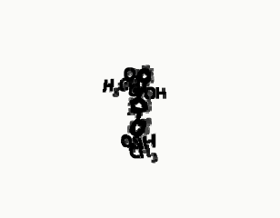 CC(=O)Nc1ccc(-c2ccc(C(=O)C(O)c3ccccc3OC(C)=O)cc2)cc1